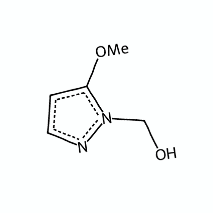 COc1ccnn1CO